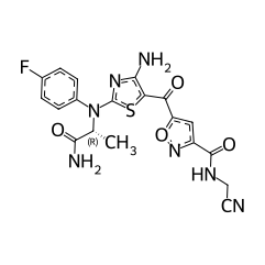 C[C@H](C(N)=O)N(c1ccc(F)cc1)c1nc(N)c(C(=O)c2cc(C(=O)NCC#N)no2)s1